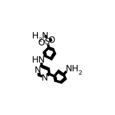 Nc1cccc(-c2cc(Nc3cccc(S(N)(=O)=O)c3)ncn2)c1